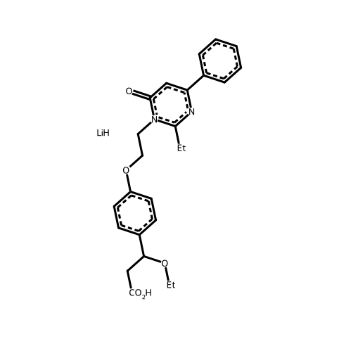 CCOC(CC(=O)O)c1ccc(OCCn2c(CC)nc(-c3ccccc3)cc2=O)cc1.[LiH]